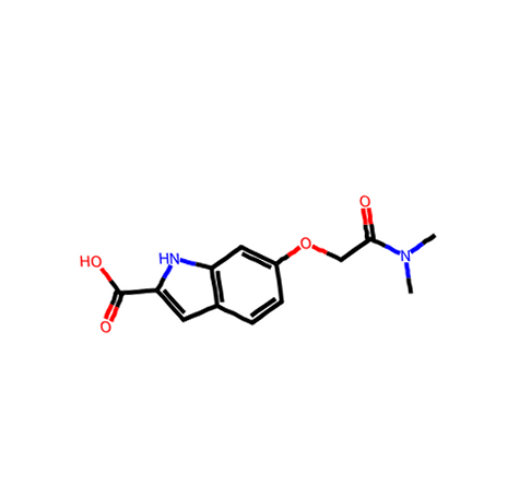 CN(C)C(=O)COc1ccc2cc(C(=O)O)[nH]c2c1